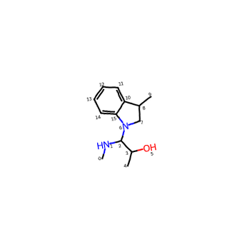 CNC(C(C)O)N1CC(C)c2ccccc21